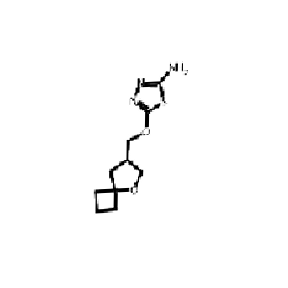 Nc1nnc(OC[C@H]2COC3(CCC3)C2)s1